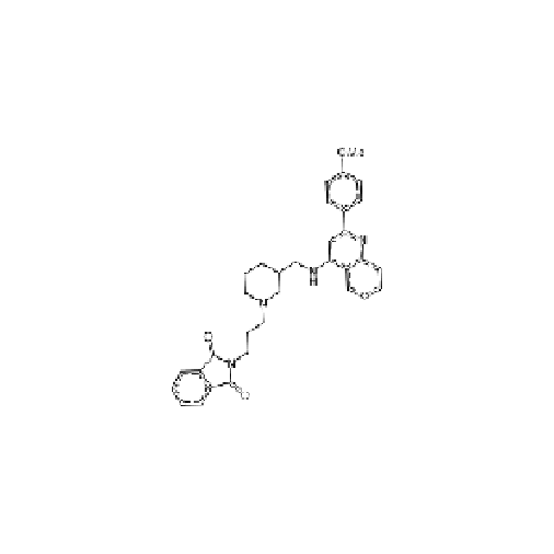 COc1ccc(-c2cc(NCC3CCCN(CCCN4C(=O)c5ccccc5C4=O)C3)c3ccccc3n2)cc1